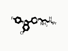 CC(C)NCCC(N)CN1CCC(c2cn(-c3ccc(F)cc3)c3cc(Cl)ccc23)CC1